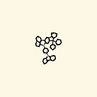 c1ccc(C2(c3ccccc3)c3ccccc3-c3cc4c(cc32)N(c2ccc(-n3c5ccccc5c5ccccc53)cc2)c2cccc3cccc-4c23)cc1